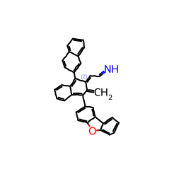 C=c1c(-c2ccc3oc4ccccc4c3c2)c2ccccc2c(-c2ccc3ccccc3c2)/c1=C/C=N